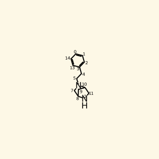 c1ccc(CCN2CC3CC2CN3)cc1